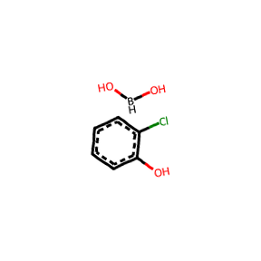 OBO.Oc1ccccc1Cl